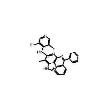 CCc1cncc(F)c1Nc1nc(N=C(c2ccccc2)c2ccccc2)c2nc[nH]c2c1C